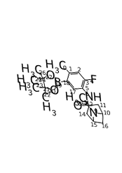 Cc1cc(F)c(NC(=O)N2C3CC(C)CC2C3)cc1B1OC(C)(C)C(C)(C)O1